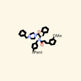 CCCCCc1ccc(CN(C(=O)/C=C/c2cccc(OC)c2)[C@@H](Cc2ccccc2)C(=O)N2CCN(Cc3ccccc3)CC2)cc1